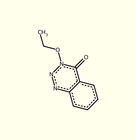 CCOn1nnc2ccccc2c1=O